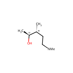 CNCC[C@@H](C)[C@H](C)O